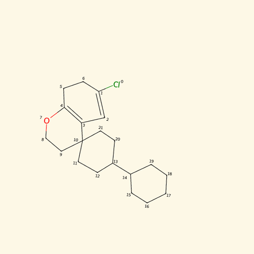 ClC1=CC2=C(CC1)OCCC21CCC(C2CCCCC2)CC1